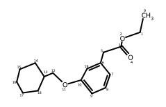 CCOC(=O)Cc1cccc(OCC2CCCCC2)c1